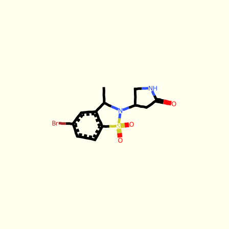 CC1c2cc(Br)ccc2S(=O)(=O)N1C1CNC(=O)C1